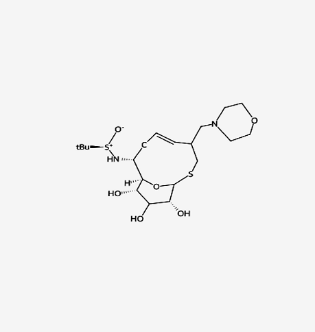 CC(C)(C)[S@@+]([O-])N[C@@H]1C/C=C/C(CN2CCOCC2)CSC2O[C@H]1[C@@H](O)C(O)[C@H]2O